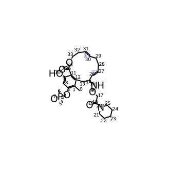 Cc1c(OP(C)(C)=O)cc(O)c2c1CC(NOCC(=O)N1CCCCC1)/C=C/CC/C=C/CCOC2=O